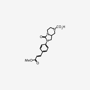 COC(=O)C=Cc1ccc(N2CC3CN(C(=O)O)CCN3C2=O)cc1